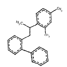 Cc1ccc(C(C)Cc2ccccc2-c2ccccc2)c(C)c1